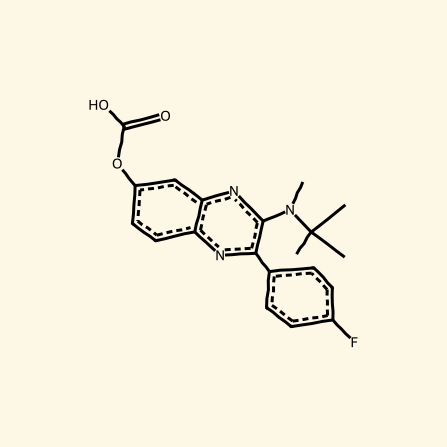 CN(c1nc2cc(OC(=O)O)ccc2nc1-c1ccc(F)cc1)C(C)(C)C